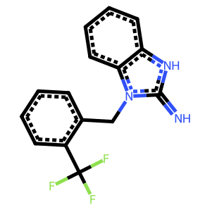 N=c1[nH]c2ccccc2n1Cc1ccccc1C(F)(F)F